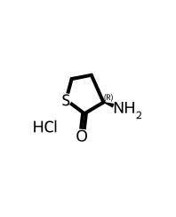 Cl.N[C@@H]1CCSC1=O